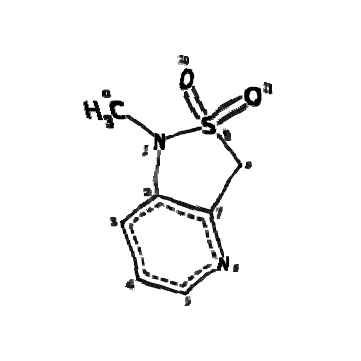 CN1c2cccnc2CS1(=O)=O